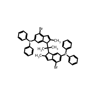 CC1=Cc2c(Br)cc(P(c3ccccc3)c3ccccc3)cc2C1C(C)(C)C1C(C)=Cc2c(Br)cc(P(c3ccccc3)c3ccccc3)cc21